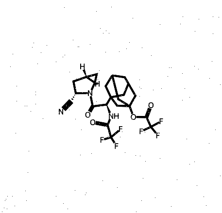 N#C[C@@H]1C[C@@H]2C[C@@H]2N1C(=O)[C@H](NC(=O)C(F)(F)F)C12CC3CC(CC(OC(=O)C(F)(F)F)(C3)C1)C2